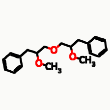 COC(COCC(Cc1ccccc1)OC)Cc1ccccc1